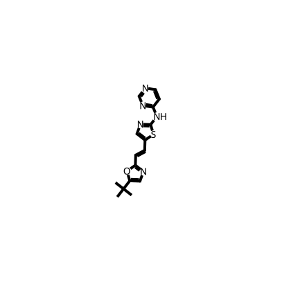 CC(C)(C)c1cnc(C=Cc2cnc(Nc3ccncn3)s2)o1